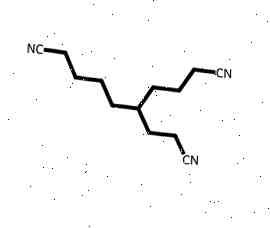 N#CCCCCC(CCC#N)CCCC#N